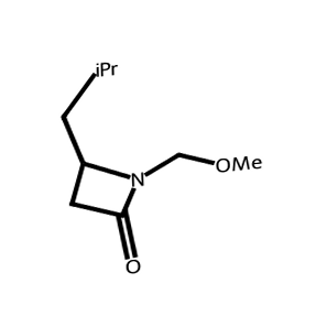 COCN1C(=O)CC1CC(C)C